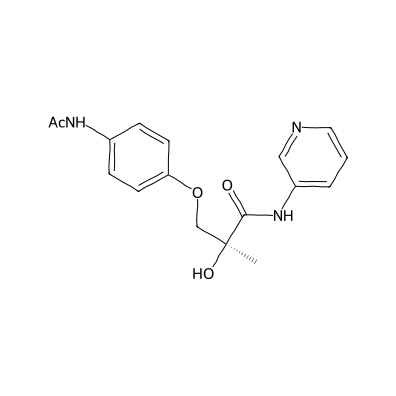 CC(=O)Nc1ccc(OC[C@](C)(O)C(=O)Nc2cccnc2)cc1